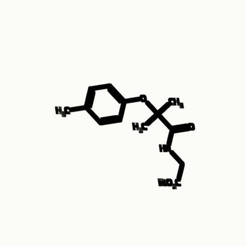 CCOC(=O)CNC(=O)C(C)(C)Oc1ccc(C)cc1